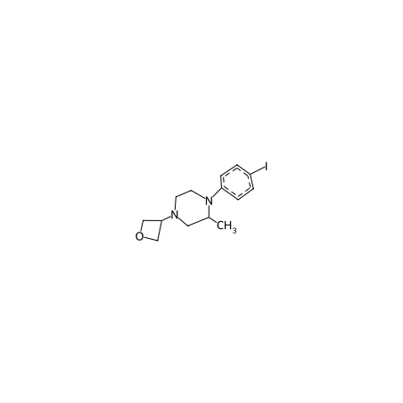 CC1CN(C2COC2)CCN1c1ccc(I)cc1